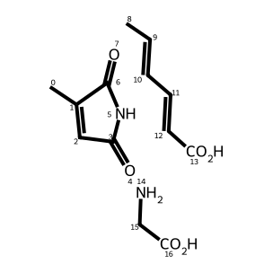 CC1=CC(=O)NC1=O.CC=CC=CC(=O)O.NCC(=O)O